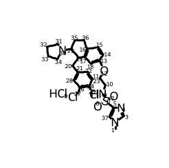 Cl.Cn1cnc(S(=O)(=O)NCCOc2ccc3c(c2)C(Cc2ccc(Cl)c(Cl)c2)C(N2CCCC2)CC3)c1